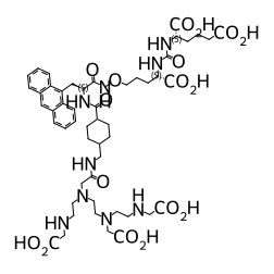 O=C(O)CCC[C@H](NC(=O)N[C@@H](CCCONC(=O)[C@H](Cc1c2ccccc2cc2ccccc12)NC(=O)C1CCC(CNC(=O)CN(CCNCC(=O)O)CCN(CCNCC(=O)O)CC(=O)O)CC1)C(=O)O)C(=O)O